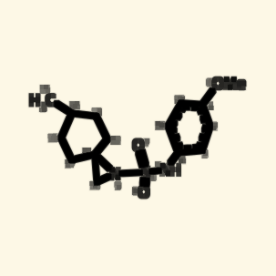 COc1ccc(NS(=O)(=O)N2CC23CCC(C)CC3)cc1